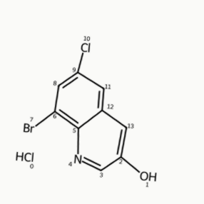 Cl.Oc1cnc2c(Br)cc(Cl)cc2c1